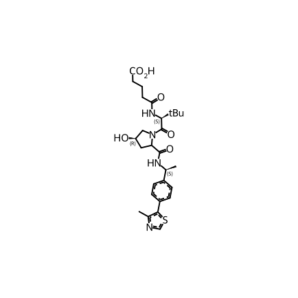 Cc1ncsc1-c1ccc([C@H](C)NC(=O)C2C[C@@H](O)CN2C(=O)[C@@H](NC(=O)CCCC(=O)O)C(C)(C)C)cc1